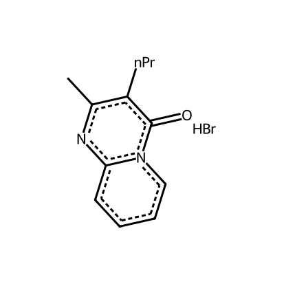 Br.CCCc1c(C)nc2ccccn2c1=O